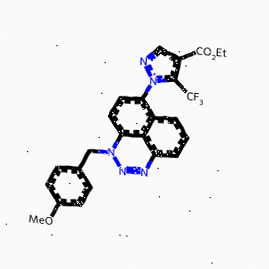 CCOC(=O)c1cnn(-c2ccc3c4c(cccc24)N=NN3Cc2ccc(OC)cc2)c1C(F)(F)F